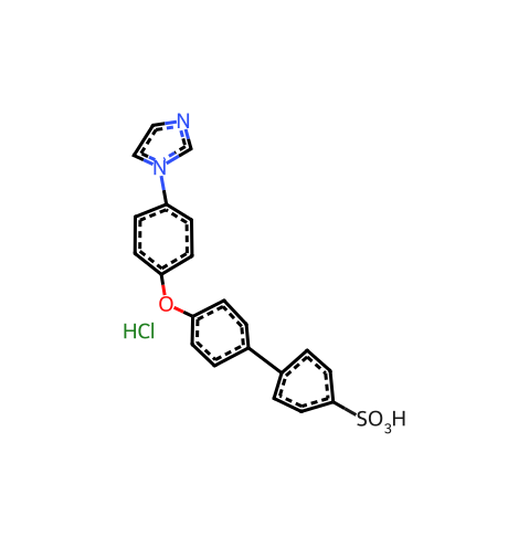 Cl.O=S(=O)(O)c1ccc(-c2ccc(Oc3ccc(-n4ccnc4)cc3)cc2)cc1